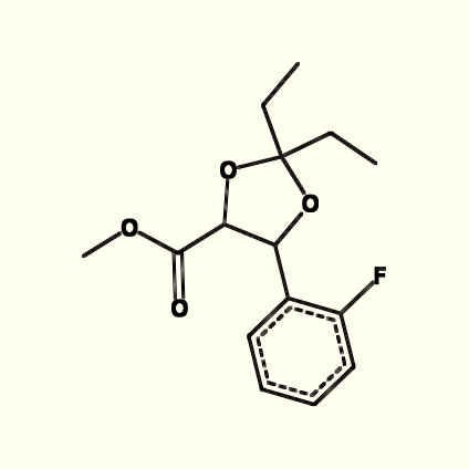 CCC1(CC)OC(C(=O)OC)C(c2ccccc2F)O1